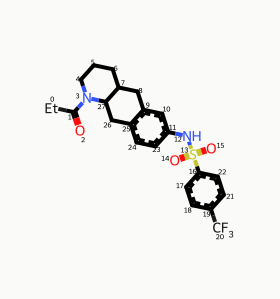 CCC(=O)N1CCCC2Cc3cc(NS(=O)(=O)c4ccc(C(F)(F)F)cc4)ccc3CC21